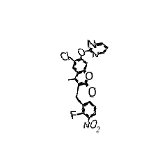 Cc1c(Cc2cccc([N+](=O)[O-])c2F)c(=O)oc2cc(Oc3ncccn3)c(Cl)cc12